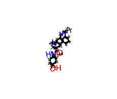 CC(C)n1cc2c3c(cccc31)C1C[C@@H](C(=O)NC3CCC(O)CC3)CN(C)[C@@H]1C2